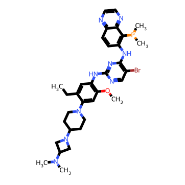 CCc1cc(Nc2ncc(Br)c(Nc3ccc4nccnc4c3P(C)C)n2)c(OC)cc1N1CCC(N2CC(N(C)C)C2)CC1